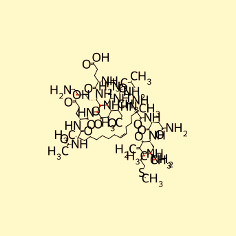 C=C(C(=O)[C@H](CC(C)C)NC(=O)[C@H](CC(N)=O)NC(=O)[C@](C)(CCC/C=C\CCCCCC[C@@](C)(NC(C)=O)C(=O)N[C@@H](CCC(=O)O)C(=O)N[C@@H](CCCNC(N)N)C(=O)C(=O)C(NC(=O)[C@H](CCCCN)NC(=O)[C@@H](N)CCC(=O)O)[C@@H](C)CC)NN[C@H](C=O)CC(C)C)[C@H](CCSC)NN